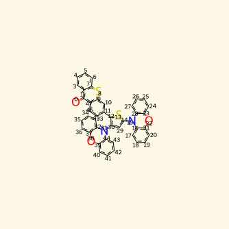 O=c1c2ccccc2sc2cc(-c3sc(N4c5ccccc5Oc5ccccc54)cc3N3c4ccccc4Oc4ccccc43)ccc12